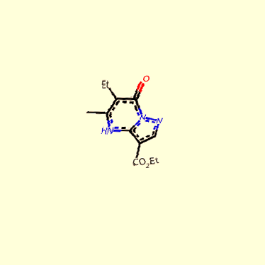 CCOC(=O)c1cnn2c(=O)c(CC)c(C)[nH]c12